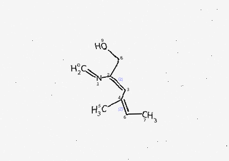 C=N/C(=C\C(C)=C/C)CO